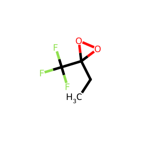 CCC1(C(F)(F)F)OO1